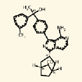 C[C@@](O)(c1ccc(-c2nc([C@H]3C[C@H]4CC[C@@H](C3)C4C(=O)O)n3ccnc(N)c23)cc1)c1cccc(C(F)(F)F)c1